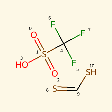 O=S(=O)(O)C(F)(F)F.S=CS